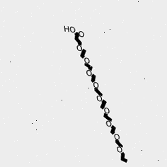 CCCOCCOCCOCCOCCOCCOCCOCCOCCOCCC(=O)O